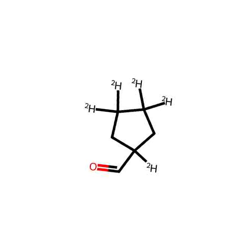 [2H]C1(C=O)CC([2H])([2H])C([2H])([2H])C1